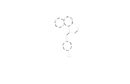 Brc1ccc(C=C2C=COc3ccc4ccccc4c32)cc1